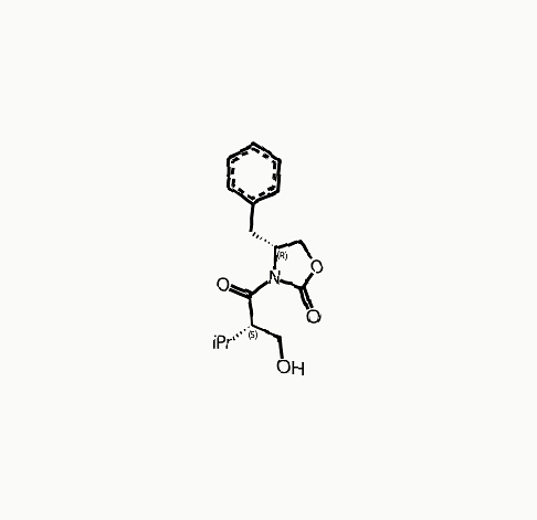 CC(C)[C@@H](CO)C(=O)N1C(=O)OC[C@H]1Cc1ccccc1